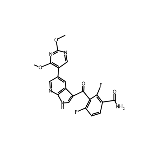 COc1ncc(-c2cnc3[nH]cc(C(=O)c4c(F)ccc(C(N)=O)c4F)c3c2)c(OC)n1